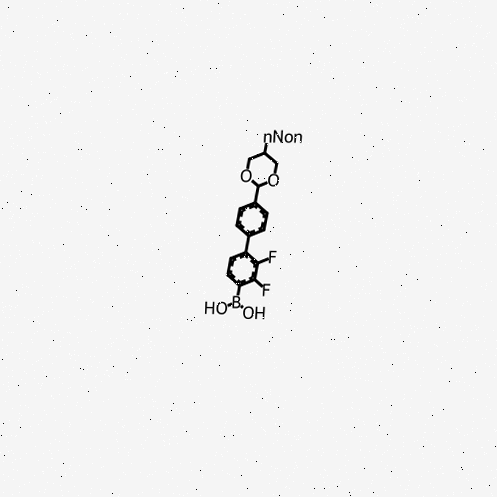 CCCCCCCCCC1COC(c2ccc(-c3ccc(B(O)O)c(F)c3F)cc2)OC1